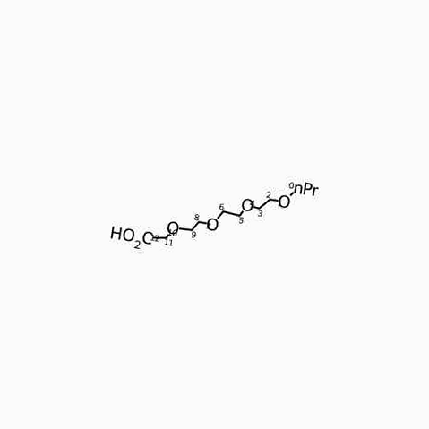 CCCOCCOCCOCCOCC(=O)O